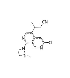 CC(CC#N)c1cnc(N2CC[C@H]2C)c2cnc(Cl)cc12